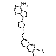 Nc1nc2cc(CC[C@@H]3CC[C@H](n4ccc5c(N)ncnc54)C3)ccc2cc1Br